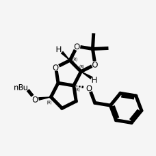 CCCCO[C@@H]1CC[C@@]2(OCc3ccccc3)C1O[C@@H]1OC(C)(C)O[C@@H]12